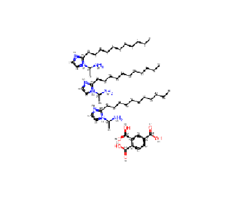 CCCCCCCCCCCc1nccn1C(C)N.CCCCCCCCCCCc1nccn1C(C)N.CCCCCCCCCCCc1nccn1C(C)N.O=C(O)c1ccc(C(=O)O)c(C(=O)O)c1